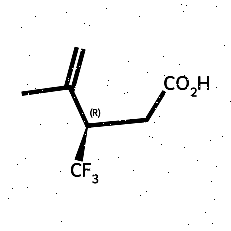 C=C(C)[C@@H](CC(=O)O)C(F)(F)F